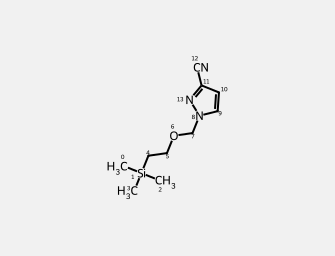 C[Si](C)(C)CCOCn1ccc(C#N)n1